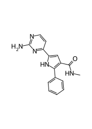 CNC(=O)c1cc(-c2ccnc(N)n2)[nH]c1-c1ccccc1